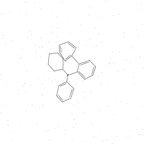 c1ccc(-c2ccccc2P(c2ccccc2)C2CCCCC2)cc1